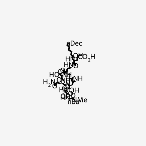 CCCCCCCCCCCCCCC[C@H](O)N[C@@H](CCC(=O)O)C(=O)NCCCC(=O)N[C@H](C(=O)N[C@@H](CCC(N)=O)C(=O)N[C@@H](Cc1c[nH]cn1)[C@H](O)N[C@@H](CO)C(=O)N[C@@H](CCCC)C(=O)NC)C(C)O